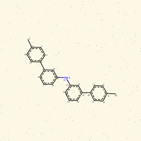 Cc1ccc(-c2cccc(Nc3cccc(-c4ccc(C)cc4)c3)c2)cc1